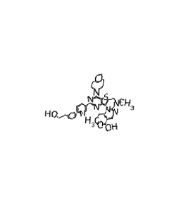 CCc1nc(N(C)Cc2cc3nc(-c4ccc(OCCO)nc4)nc(N4CCOCC4)c3s2)ncc1C(=O)O